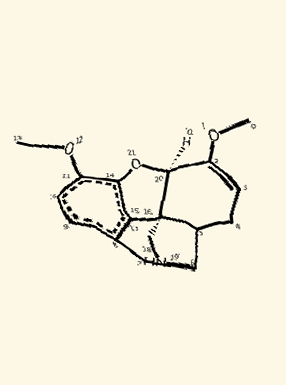 COC1=CCC2C3Cc4ccc(OC)c5c4[C@@]2(CCN3)[C@H]1O5